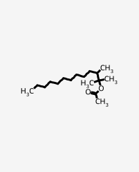 CCCCCCCCCCC(C)C(C)(C)OC(C)=O